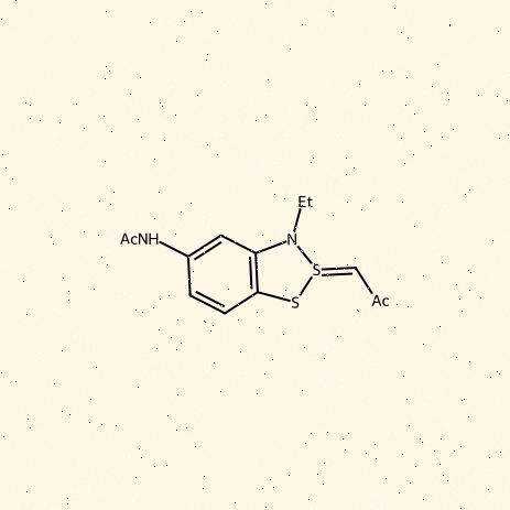 CCN1c2cc(NC(C)=O)ccc2SS1=CC(C)=O